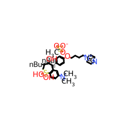 CCCCC1(CCCC)CS(O)(O)c2ccc(N(C)C)cc2[C@@H](c2ccc(OCCCC[N+]34CCN(CC3)CC4)cc2)[C@H]1O.CS(=O)(=O)[O-]